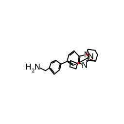 NCc1ccc(-c2ccc3c(c2)nc2n3C3CCC2CN(C2CCC2)C3)cc1